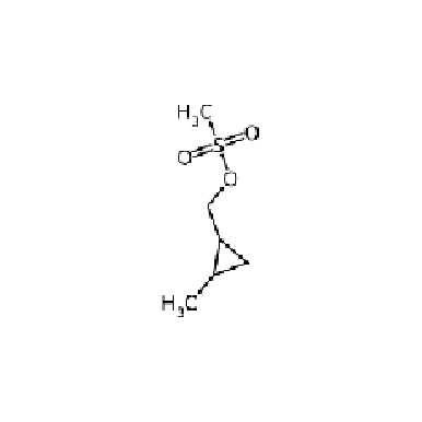 CC1CC1COS(C)(=O)=O